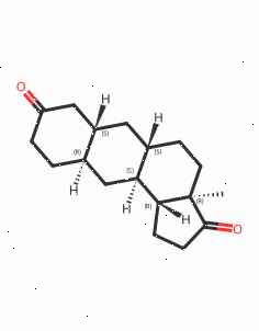 C[C@@]12CC[C@H]3C[C@H]4CC(=O)CC[C@@H]4C[C@@H]3[C@H]1CCC2=O